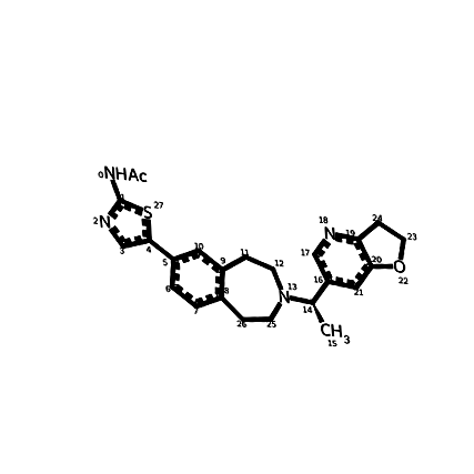 CC(=O)Nc1ncc(-c2ccc3c(c2)CCN([C@H](C)c2cnc4c(c2)OCC4)CC3)s1